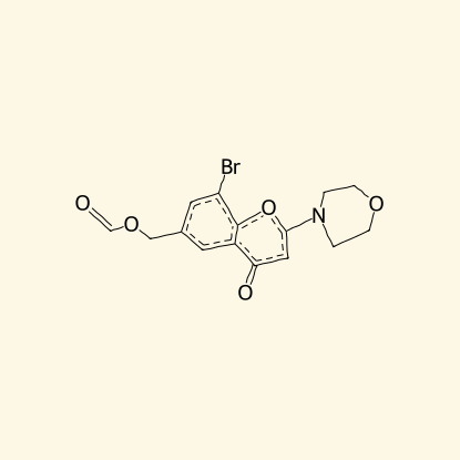 O=COCc1cc(Br)c2oc(N3CCOCC3)cc(=O)c2c1